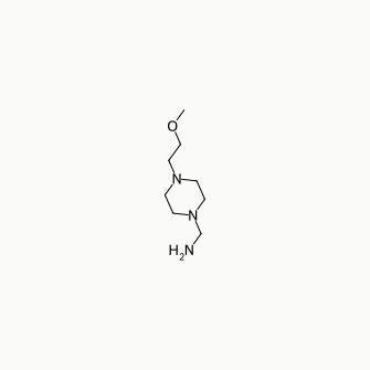 COCCN1CCN(CN)CC1